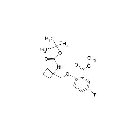 COC(=O)c1cc(F)ccc1OCC1(NC(=O)OC(C)(C)C)CCC1